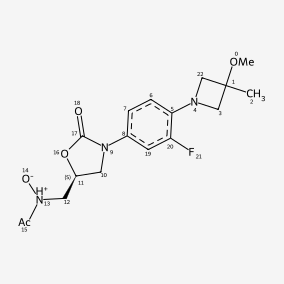 COC1(C)CN(c2ccc(N3C[C@@H](C[NH+]([O-])C(C)=O)OC3=O)cc2F)C1